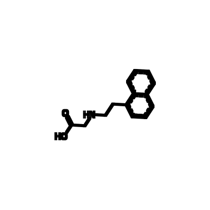 O=C(O)CNCCc1cccc2ccccc12